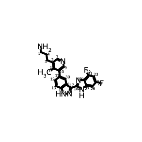 Cc1c(CCCN)cncc1-c1ccc2[nH]nc(-c3nc4c(F)cc(F)cc4[nH]3)c2c1